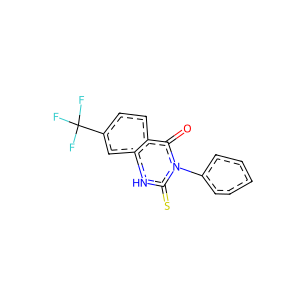 O=c1c2ccc(C(F)(F)F)cc2[nH]c(=S)n1-c1ccccc1